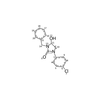 O=C1N(c2ccc(Cl)cc2)SC(O)N1Cc1ccccc1